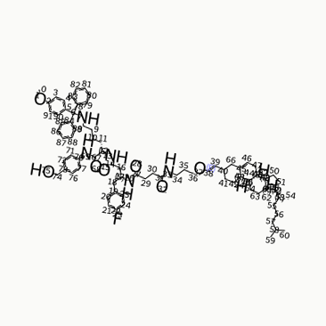 COc1ccc(C(NCCCC[C@H](NC(=O)C[C@H](Cc2ccc(F)cc2)NC(=O)CCC(=O)NCCCO/C=C/C2CC[C@@]3(C)C(=CC[C@H]4[C@@H]5CC[C@H]([C@H](C)CCCC(C)C)[C@@]5(C)CC[C@@H]43)C2)C(=O)Nc2ccc(CO)cc2)(c2ccccc2)c2ccccc2)cc1